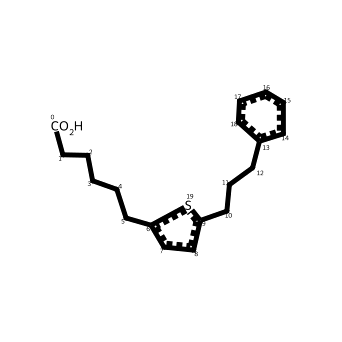 O=C(O)CCCCCc1ccc(CCCc2ccccc2)s1